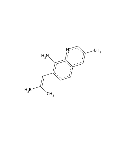 B/C(C)=C/c1ccc2cc(B)cnc2c1N